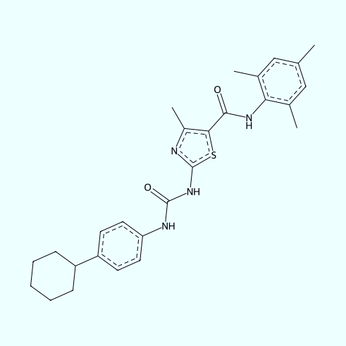 Cc1cc(C)c(NC(=O)c2sc(NC(=O)Nc3ccc(C4CCCCC4)cc3)nc2C)c(C)c1